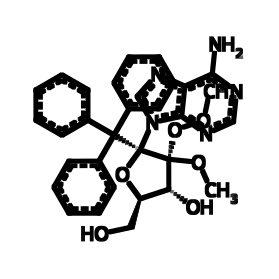 COO[C@]1(OC)[C@H](O)[C@@H](CO)O[C@]1(n1cnc2c(N)ncnc21)C(c1ccccc1)(c1ccccc1)c1ccccc1